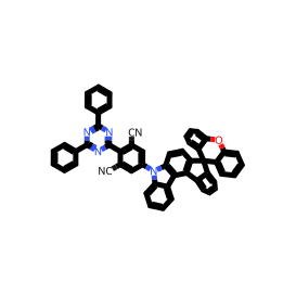 N#Cc1cc(-n2c3ccccc3c3c4c(ccc32)C2(c3ccccc3Oc3ccccc32)c2ccccc2-4)cc(C#N)c1-c1nc(-c2ccccc2)nc(-c2ccccc2)n1